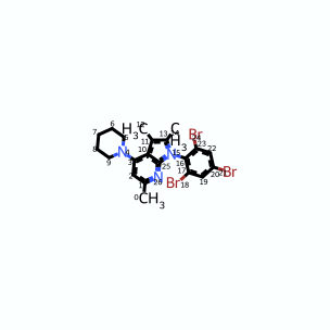 Cc1cc(N2CCCCC2)c2c(C)c(C)n(-c3c(Br)cc(Br)cc3Br)c2n1